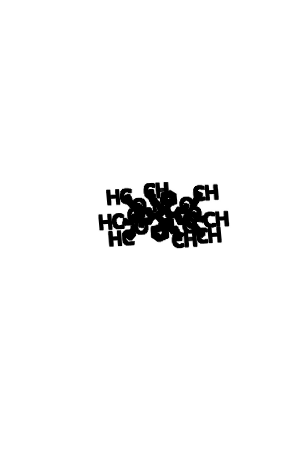 C#CCOc1cc(-c2c3c4ccccc4n(CC#C)c3c(-c3cc(OCC#C)c(OCC#C)c(OCC#C)c3)c3c4ccccc4n(CC#C)c23)cc(OCC#C)c1OCC#C